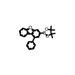 CC1(C)OB(c2cc(-c3ccccc3)c3c(c2)oc2ccccc23)OC1(C)C